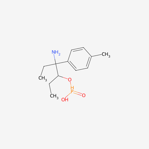 CCC(O[PH](=O)O)C(N)(CC)c1ccc(C)cc1